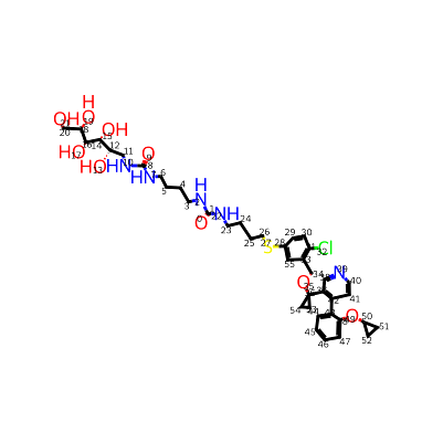 O=C(NCCCCNC(=O)NC[C@H](O)[C@@H](O)[C@H](O)[C@H](O)CO)NCCCCSc1ccc(Cl)c(COC2(c3cnccc3-c3ccccc3OC3CC3)CC2)c1